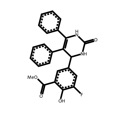 COC(=O)c1cc(C2NC(=O)NC(c3ccccc3)=C2c2ccccc2)cc(F)c1O